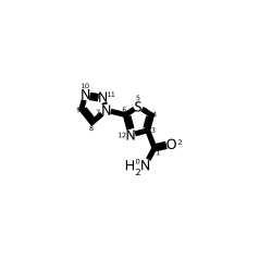 NC(=O)c1csc(-n2ccnn2)n1